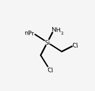 CCC[Si](N)(CCl)CCl